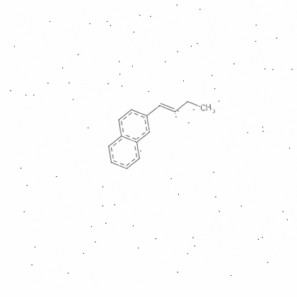 CC[C]=Cc1ccc2ccccc2c1